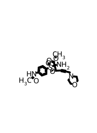 COC(=O)C(N)(CC#CCN1CCOCC1)S(=O)(=O)c1ccc(NC(C)=O)cc1